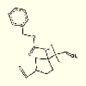 C=CC(F)(F)C1(NC(=O)OCc2ccccc2)CCN(C=O)C1